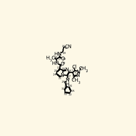 CC1=NN(C)C(Cl)C1c1nc2c(C(=O)NC(C)C(=O)NCCC#N)cccn2c1NCc1ccccc1